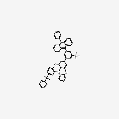 CC(C)(C)c1cc(C2=CC3Sc4ccc(C(C)(C)c5ccccc5)cc4B4c5ccccc5SC(=C2)C43)cc(-c2c3ccccc3c(-c3ccccc3)c3ccccc23)c1